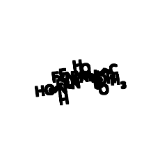 CCCCC[C@H](CN(O)C=O)C(=O)NNc1ncc(NCCO)c(C(F)(F)F)n1